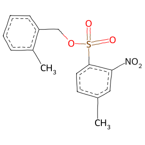 Cc1ccc(S(=O)(=O)OCc2ccccc2C)c([N+](=O)[O-])c1